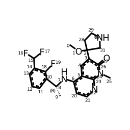 COC1(c2cc3c(N[C@H](C)c4cccc(C(F)F)c4F)ccnc3n(C)c2=O)CCNC1